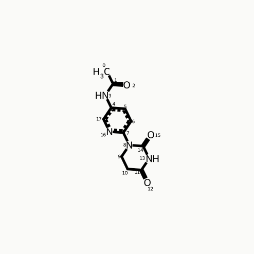 CC(=O)Nc1ccc(N2CCC(=O)NC2=O)nc1